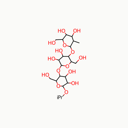 CC(C)OC1OC(CO)C(OC2OC(CO)C(OC3OC(CO)C(O)C(O)C3C)C(O)C2O)C(O)C1O